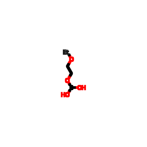 CCOCCOB(O)O